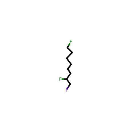 FCCCCCCC(F)CI